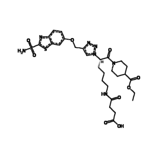 CCOC(=O)C1CCN(C(=O)[C@H](CCCCNC(=O)CCC(=O)O)n2cc(COc3ccc4nc(S(N)(=O)=O)sc4c3)nn2)CC1